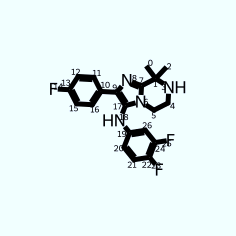 CC1(C)NCCn2c1nc(-c1ccc(F)cc1)c2Nc1ccc(F)c(F)c1